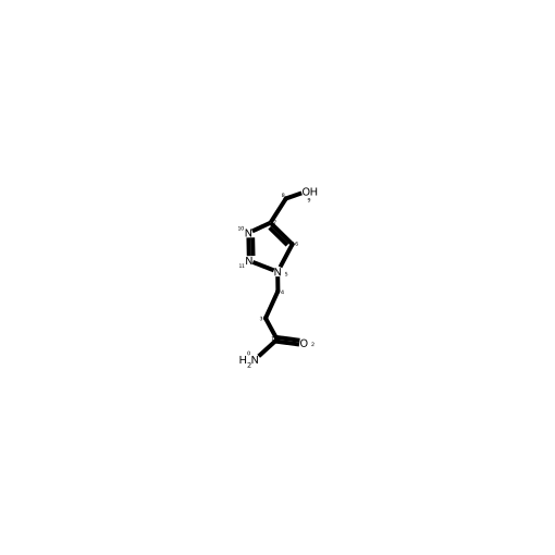 NC(=O)CCn1cc(CO)nn1